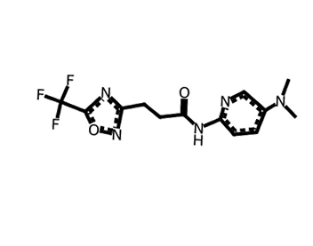 CN(C)c1ccc(NC(=O)CCc2noc(C(F)(F)F)n2)nc1